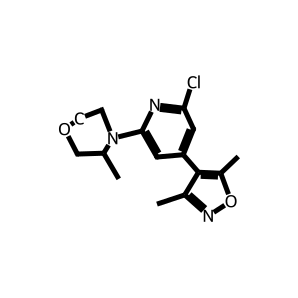 Cc1noc(C)c1-c1cc(Cl)nc(N2CCOCC2C)c1